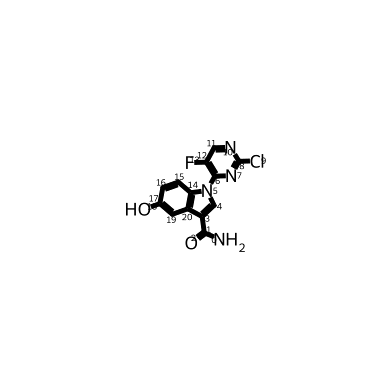 NC(=O)c1cn(-c2nc(Cl)ncc2F)c2ccc(O)cc12